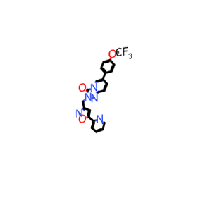 O=c1n(Cc2cc(-c3ccccn3)on2)nc2ccc(-c3ccc(OC(F)(F)F)cc3)cn12